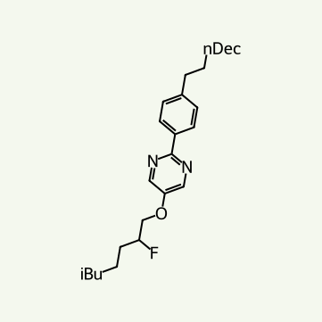 CCCCCCCCCCCCc1ccc(-c2ncc(OCC(F)CCC(C)CC)cn2)cc1